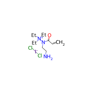 C=CC(=O)N(CCN)[N+](CC)(CC)CC.Cl[I-]Cl